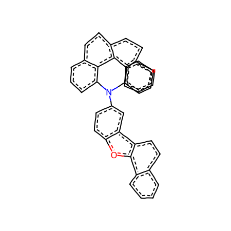 c1ccc(N(c2ccc3oc4c5ccccc5ccc4c3c2)c2cccc3ccc4ccc5ccccc5c4c23)cc1